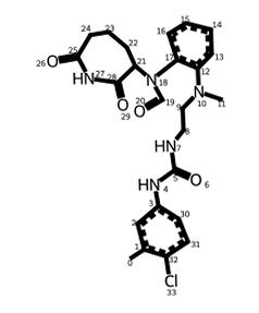 Cc1cc(NC(=O)NCCN(C)c2ccccc2N(C=O)C2CCCC(=O)NC2=O)ccc1Cl